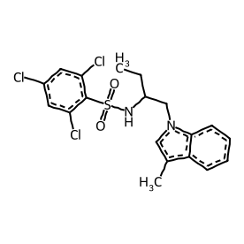 CCC(Cn1cc(C)c2ccccc21)NS(=O)(=O)c1c(Cl)cc(Cl)cc1Cl